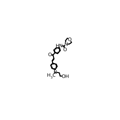 CN(CCO)c1ccc(/C=C/C(=O)c2ccc(NC(=O)N3CCOCC3)cc2)cc1